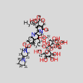 CCc1c2c(nc3ccc(OC(=O)N4CCC(N5CCCCC5)CC4)cc13)-c1cc3c(c(=O)n1C2)COC(=O)[C@]3(O)CC.O=S(=O)(O)O[C@H]1[C@H](O)[C@@H](CO)O[C@@]1(CO)O[C@H]1O[C@H](CO)[C@@H](O)[C@H](O)[C@H]1O